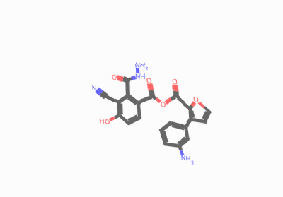 N#Cc1c(O)ccc(C(=O)OC(=O)c2occc2-c2cccc(N)c2)c1C(=O)NN